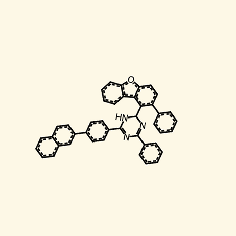 c1ccc(C2=NC(c3c(-c4ccccc4)ccc4oc5ccccc5c34)NC(c3ccc(-c4ccc5ccccc5c4)cc3)=N2)cc1